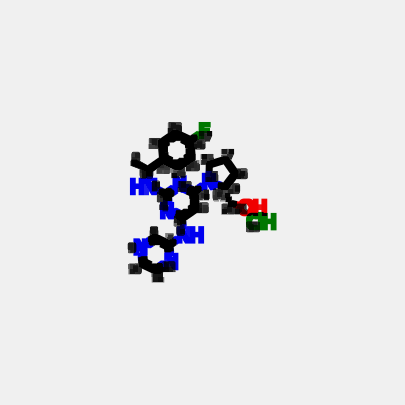 C[C@H](Nc1nc(Nc2cnccn2)cc(N2CCC[C@@H]2CO)n1)c1ccc(F)cc1.Cl